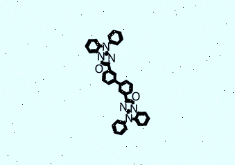 c1ccc(-n2c3ccccc3n3c4oc5ccc(-c6ccc7oc8c(nc9n(-c%10ccccc%10)c%10ccccc%10n89)c7c6)cc5c4nc23)cc1